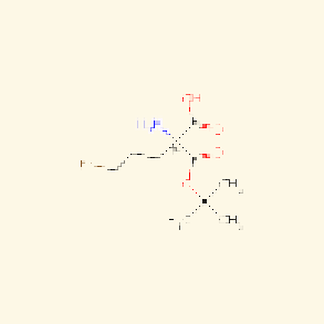 CC(C)(C)OC(=O)[C@](N)(CCCBr)C(=O)O